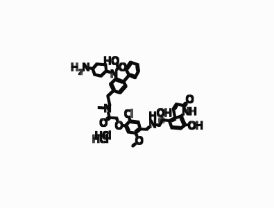 COc1cc(OCC(=O)N(C)CCc2ccc(-c3ccccc3)c(N(C(=O)O)C3CCC(N)CC3)c2)c(Cl)cc1CNC[C@H](O)c1ccc(O)c2[nH]c(=O)ccc12.Cl.Cl